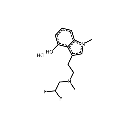 CN(CCc1cn(C)c2cccc(O)c12)CC(F)F.Cl